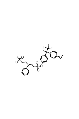 COc1ccc(C(C)(c2ccc(OS(=O)(=O)CCN(CCS(C)(=O)=O)c3ccccc3)cc2)C(F)(F)F)cc1